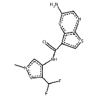 Cn1cc(NC(=O)c2csc3ncc(N)nc23)c(C(F)F)n1